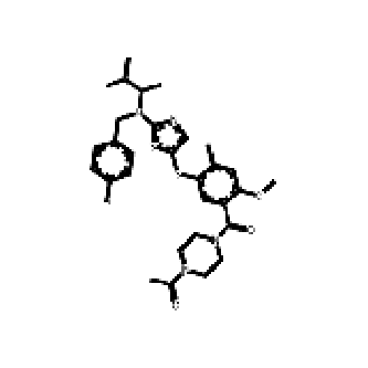 [CH]c1ccc(CN(c2ncc(Sc3cc(C(=O)N4CCN(C(C)=O)CC4)c(OC)cc3C)s2)C(C)C(C)C)cc1